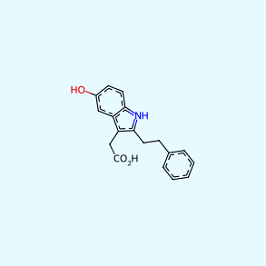 O=C(O)Cc1c(CCc2ccccc2)[nH]c2ccc(O)cc12